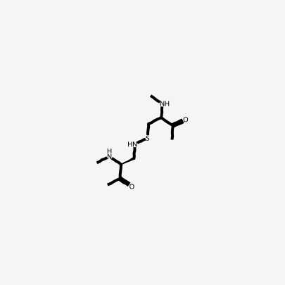 CNC(CSNC[C@H](NC)C(C)=O)C(C)=O